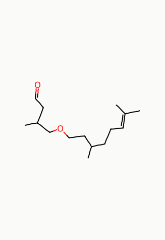 CC(C)=CCCC(C)CCOCC(C)CC=O